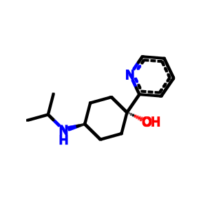 CC(C)N[C@H]1CC[C@@](O)(c2ccccn2)CC1